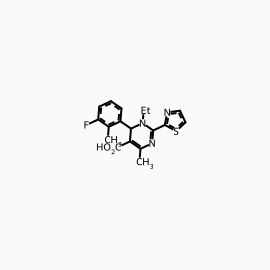 CCN1C(c2nccs2)=NC(C)=C(C(=O)O)C1c1cccc(F)c1C